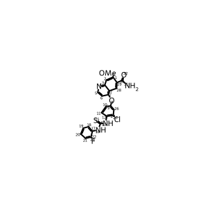 COc1cc2nccc(Oc3ccc(NC(=S)Nc4ccccc4F)c(Cl)c3)c2cc1C(N)=O